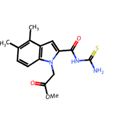 COC(=O)Cn1c(C(=O)NC(N)=S)cc2c(C)c(C)ccc21